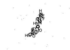 O=COC1(C(=O)N2CCN(C(=O)c3ccc(Nc4nccn5c(-c6c[nH]nc6C(F)(F)F)cnc45)cc3Cl)CC2)CCNCC1